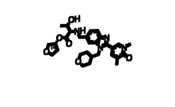 Cc1cc(-c2nc3ccc(CNC(C(=O)O[C@H]4CCOC4)C(C)O)cc3n2CC2CCOCC2)cn(C)c1=O